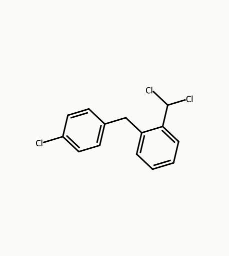 Clc1ccc(Cc2ccccc2C(Cl)Cl)cc1